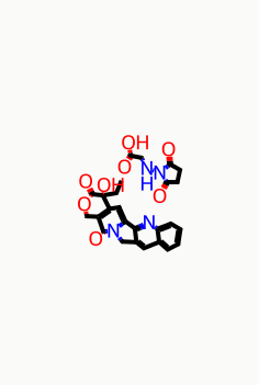 CC[C@@]1(O)C(=O)OCc2c1cc1n(c2=O)Cc2cc3ccccc3nc2-1.O=C(O)CNN1C(=O)CCC1=O